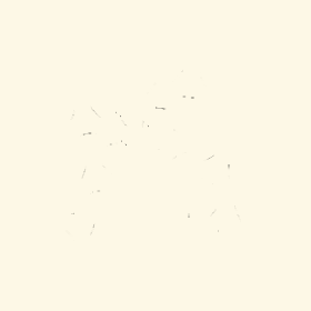 Brc1cccc2oc3ccc(-c4ccc5c(c4)c4c6ccccc6ccc4n5-c4nc(-c5ccc(-c6ccccc6)cc5)c5ccccc5n4)cc3c12